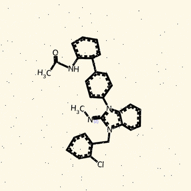 C/N=c1/n(Cc2ccccc2Cl)c2ccccc2n1-c1ccc(-c2ccccc2NC(C)=O)cc1